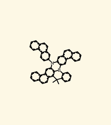 CC1(C)c2ccccc2B2c3cc4c(ccc5ccccc54)cc3N(c3ccc4c(ccc5ccccc54)c3)c3cc4c(ccc5ccccc54)c1c32